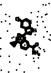 NC(=O)c1ccc(C2(S(=O)(=O)O)CC2)c(C(=O)c2c[nH]c3ncc(Cl)cc23)c1